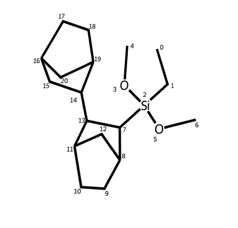 CC[Si](OC)(OC)C1C2CCC(C2)C1C1CC2CCC1C2